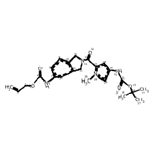 C=CCOC(=O)Nc1ccc2c(c1)CN(C(=O)c1cc(NC(=O)OC(C)(C)C)cn1C)C2